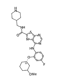 COC1CCC[C@H](Oc2cc(F)ccc2Nc2ncnc3sc(C(=O)NCC4CCNCC4)nc23)C1